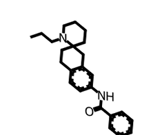 CCCN1CCCCC12CCc1ccc(NC(=O)c3ccccc3)cc1C2